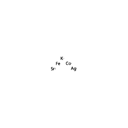 [Ag].[Co].[Fe].[K].[Sr]